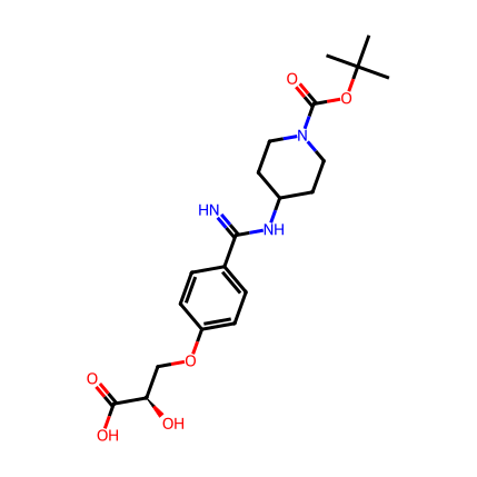 CC(C)(C)OC(=O)N1CCC(NC(=N)c2ccc(OC[C@@H](O)C(=O)O)cc2)CC1